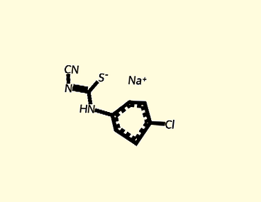 N#C/N=C(\[S-])Nc1ccc(Cl)cc1.[Na+]